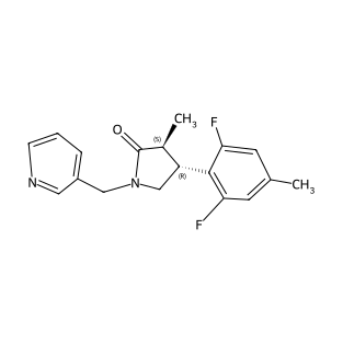 Cc1cc(F)c([C@@H]2CN(Cc3cccnc3)C(=O)[C@H]2C)c(F)c1